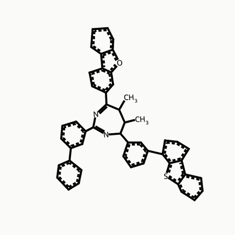 CC1C(c2ccc3c(c2)oc2ccccc23)=NC(c2cccc(-c3ccccc3)c2)=NC(c2cccc(-c3cccc4c3sc3ccccc34)c2)C1C